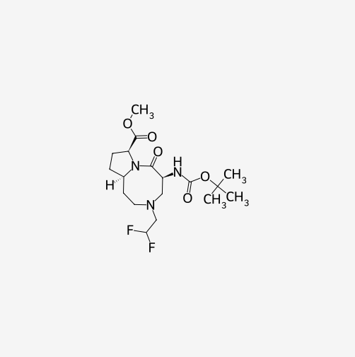 COC(=O)[C@@H]1CC[C@@H]2CCN(CC(F)F)C[C@H](NC(=O)OC(C)(C)C)C(=O)N21